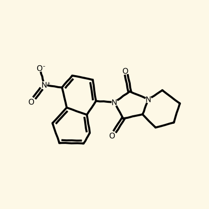 O=C1C2CCCCN2C(=O)N1c1ccc([N+](=O)[O-])c2ccccc12